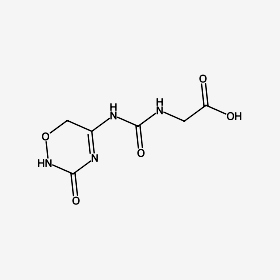 O=C(O)CNC(=O)NC1=NC(=O)NOC1